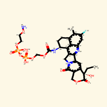 CC[C@@]1(O)C(=O)OCc2c1cc1n(c2=O)Cc2c-1nc1cc(F)c(C)c3c1c2[C@@H](NC(=O)OCOP(=O)(O)OP(=O)(O)OCCON)CC3